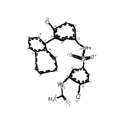 CC(=O)Nc1cc(S(=O)(=O)Nc2ccc(Cl)c(-c3nccc4ccccc34)c2)ccc1Cl